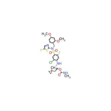 CNC(=O)O[C@@H](CNc1cc(F)c(S(=O)(=O)N(Cc2ccc(OC)cc2OC)c2ncc(F)s2)cc1Cl)CC1(C)CC1